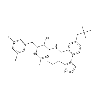 CCCc1nccn1-c1ccc(CC(C)(C)C)cc1CNCC(O)C(Cc1cc(F)cc(F)c1)NC(C)=O